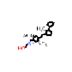 COc1cc(/C=C/c2cccc(-c3ccccc3)c2C)c(C)cc1CNCCO